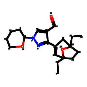 CCC12C=C(c3nn(C4CCCCO4)cc3C=O)CC(CC)(CC1)O2